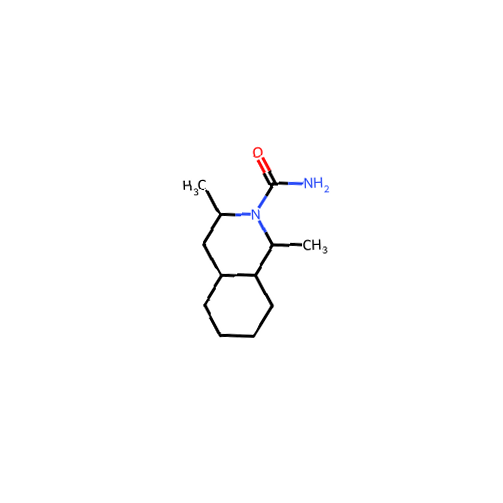 CC1CC2CCCCC2C(C)N1C(N)=O